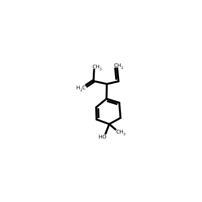 C=CC(C(=C)C)C1=CCC(C)(O)C=C1